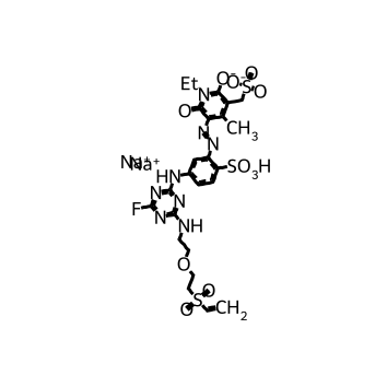 C=CS(=O)(=O)CCOCCNc1nc(F)nc(Nc2ccc(S(=O)(=O)O)c(N=Nc3c(C)c(CS(=O)(=O)[O-])c([O-])n(CC)c3=O)c2)n1.[Na+].[Na+]